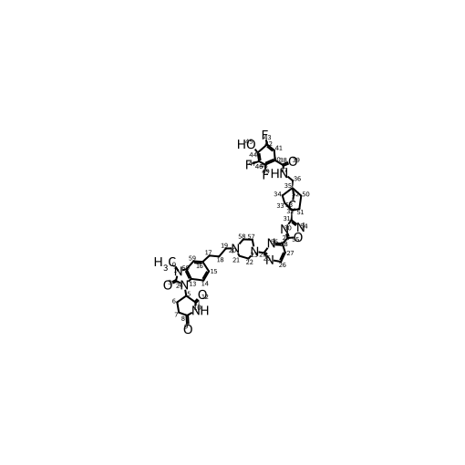 Cn1c(=O)n(C2CCC(=O)NC2=O)c2ccc(CCCN3CCN(c4nccc(-c5nc([C@]67CC[C@](CNC(=O)c8cc(F)c(O)c(F)c8F)(CC6)CC7)no5)n4)CC3)cc21